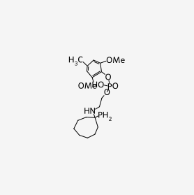 COc1cc(C)cc(OC)c1OP(=O)(O)OCCNC1(P)CCCCCCC1